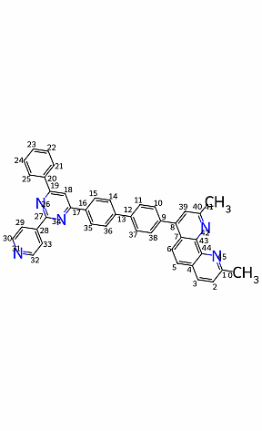 Cc1ccc2ccc3c(-c4ccc(-c5ccc(-c6cc(-c7ccccc7)nc(-c7ccncc7)n6)cc5)cc4)cc(C)nc3c2n1